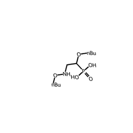 CCCCONCC(OCCCC)P(=O)(O)O